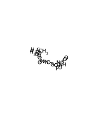 CC(C)(C)OC(=O)N1CCC(C(=O)N2CC(N3CCC(COc4cc(F)c5c(=O)[nH]c(CSC6CCOCC6)nc5c4)CC3)C2)CC1